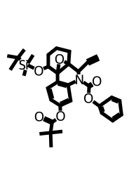 C#CC1N(C(=O)Oc2ccccc2)c2cc(OC(=O)C(C)(C)C)ccc2C23OC12CCCC3O[Si](C)(C)C(C)(C)C